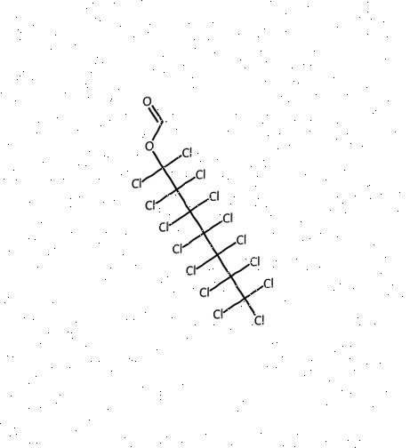 O=[C]OC(Cl)(Cl)C(Cl)(Cl)C(Cl)(Cl)C(Cl)(Cl)C(Cl)(Cl)C(Cl)(Cl)C(Cl)(Cl)Cl